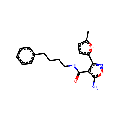 Cc1ccc(-c2noc(N)c2C(=O)NCCCCc2ccccc2)o1